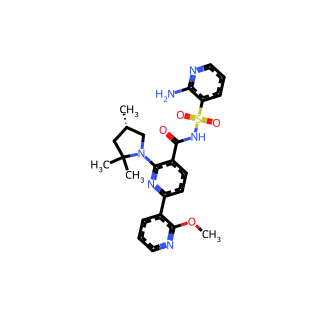 COc1ncccc1-c1ccc(C(=O)NS(=O)(=O)c2cccnc2N)c(N2C[C@@H](C)CC2(C)C)n1